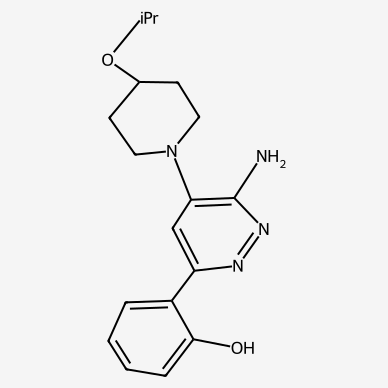 CC(C)OC1CCN(c2cc(-c3ccccc3O)nnc2N)CC1